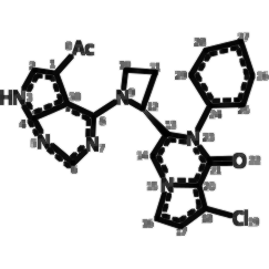 CC(=O)c1c[nH]c2ncnc(N3CC[C@H]3c3cn4ccc(Cl)c4c(=O)n3-c3ccccc3)c12